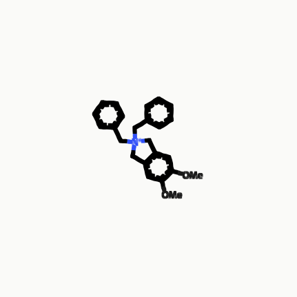 COc1cc2c(cc1OC)C[N+](Cc1ccccc1)(Cc1ccccc1)C2